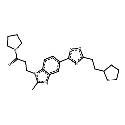 Cc1nc2cc(-c3noc(CCC4CCCC4)n3)ccc2n1CCC(=O)N1CCCC1